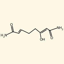 NC(=O)C=CCCC(O)=CC(N)=O